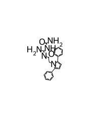 NC(=O)NC(N)=NC(=O)Cn1c(-c2ccccc2)ccc1-c1ccccc1